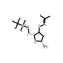 B[C@H]1CC(ON=C(C)C)[C@@H](CO[Si](C)(C)C(C)(C)C)O1